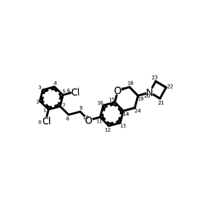 Clc1cccc(Cl)c1CCOc1ccc2c(c1)OCC(N1CCC1)C2